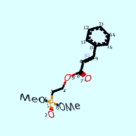 COP(=O)(CCOC(=O)/C=C/c1ccccc1)OC